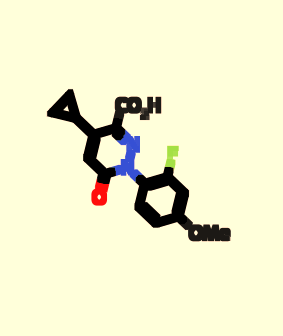 COc1ccc(-n2nc(C(=O)O)c(C3CC3)cc2=O)c(F)c1